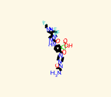 Cn1c(-c2cn(CCF)nc2C(F)(F)F)cnc1C(=O)Nc1ccc(C(=O)N2CCN(C3=NC(CN)CO3)CC2)c(Cl)c1.O=CO